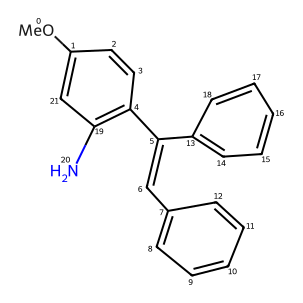 COc1ccc(C(=Cc2ccccc2)c2ccccc2)c(N)c1